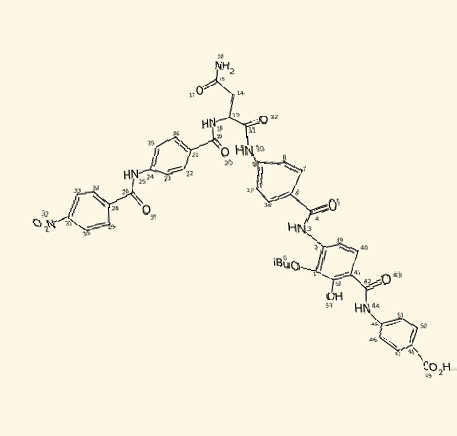 CC(C)COc1c(NC(=O)c2ccc(NC(=O)C(CC(N)=O)NC(=O)c3ccc(NC(=O)c4ccc([N+](=O)[O-])cc4)cc3)cc2)ccc(C(=O)Nc2ccc(C(=O)O)cc2)c1O